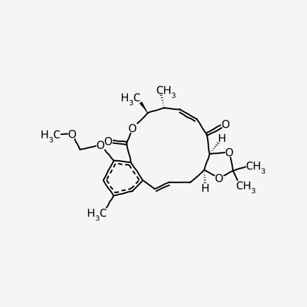 COCOc1cc(C)cc2c1C(=O)O[C@@H](C)[C@H](C)/C=C\C(=O)[C@H]1OC(C)(C)O[C@H]1C/C=C/2